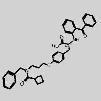 O=C(c1ccccc1)c1ccccc1N[C@@H](Cc1ccc(OCCCN(Cc2ccccc2)C(=O)C2CCC2)cc1)C(=O)O